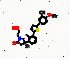 CC[C@@]1(c2cccc(-c3ccc(-c4ccc(OC(C)C)c(C#N)c4)s3)c2C)CC(=O)N(CCO)C1